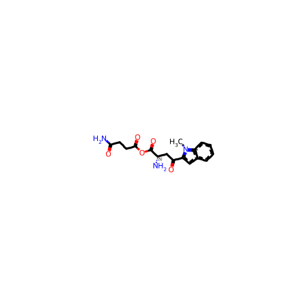 Cn1c(C(=O)C[C@H](N)C(=O)OC(=O)CCC(N)=O)cc2ccccc21